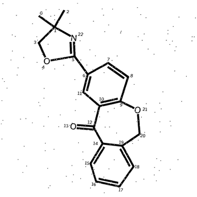 CC1(C)COC(c2ccc3c(c2)C(=O)c2ccccc2CO3)=N1